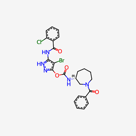 O=C(N[C@@H]1CCCCN(C(=O)c2ccccc2)C1)Oc1n[nH]c(NC(=O)c2ccccc2Cl)c1Br